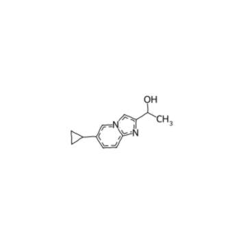 CC(O)c1cn2cc(C3CC3)ccc2n1